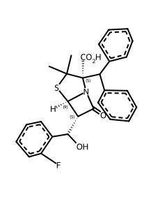 CC1(C)S[C@@H]2[C@@H](C(O)c3ccccc3F)C(=O)N2[C@]1(C(=O)O)C(c1ccccc1)c1ccccc1